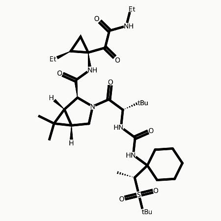 CCNC(=O)C(=O)[C@@]1(NC(=O)[C@@H]2[C@@H]3[C@H](CN2C(=O)[C@@H](NC(=O)NC2([C@@H](C)S(=O)(=O)C(C)(C)C)CCCCC2)C(C)(C)C)C3(C)C)C[C@@H]1CC